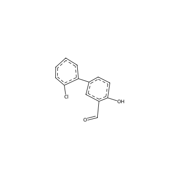 O=Cc1cc(-c2ccccc2Cl)ccc1O